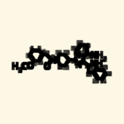 COc1cccc(CC(=O)N2CCC(c3nc(C4Cc5ccccc5N4)c4c(N)nccn34)CC2)c1